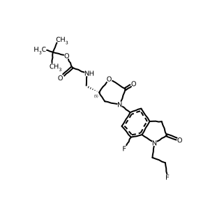 CC(C)(C)OC(=O)NC[C@H]1CN(c2cc(F)c3c(c2)CC(=O)N3CCF)C(=O)O1